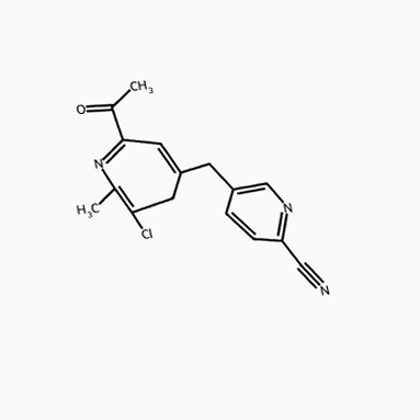 CC(=O)C1=NC(C)=C(Cl)CC(Cc2ccc(C#N)nc2)=C1